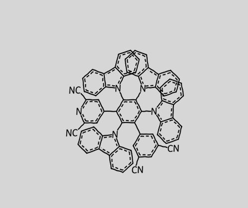 N#Cc1cc(C#N)cc(-c2c(-n3c4ccccc4c4ccccc43)c(-c3cc(C#N)nc(C#N)c3)c(-n3c4ccccc4c4ccccc43)c(-n3c4ccccc4c4ccccc43)c2-n2c3ccccc3c3ccccc32)c1